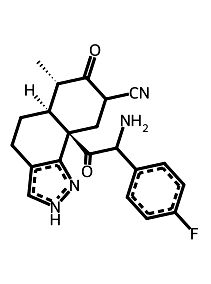 C[C@@H]1C(=O)C(C#N)C[C@]2(C(=O)C(N)c3ccc(F)cc3)c3n[nH]cc3CC[C@@H]12